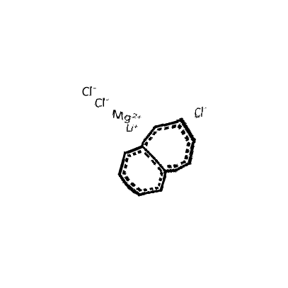 [Cl-].[Cl-].[Cl-].[Li+].[Mg+2].c1ccc2ccccc2c1